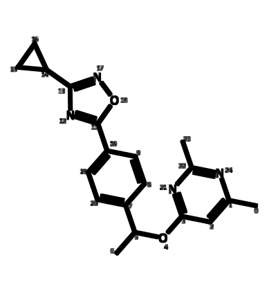 Cc1cc(OC(C)c2ccc(-c3nc(C4CC4)no3)cc2)nc(C)n1